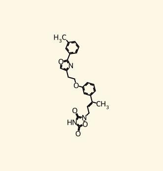 C/C(=C\Cn1oc(=O)[nH]c1=O)c1cccc(OCCc2coc(-c3cccc(C)c3)n2)c1